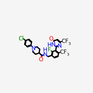 O=C(NCc1ccc(C(F)(F)F)c(-c2nc(C(F)(F)F)cc(=O)[nH]2)c1F)C1CCN(c2ccc(Cl)cc2)CC1